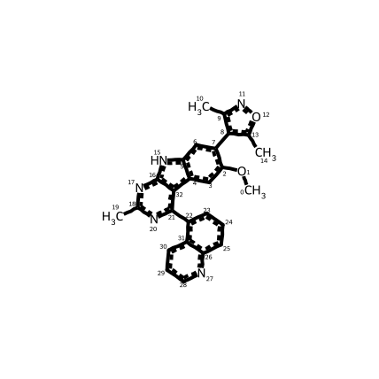 COc1cc2c(cc1-c1c(C)noc1C)[nH]c1nc(C)nc(-c3cccc4ncccc34)c12